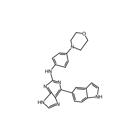 c1cc2cc(-c3nc(Nc4ccc(N5CCOCC5)cc4)nc4[nH]cnc34)ccc2[nH]1